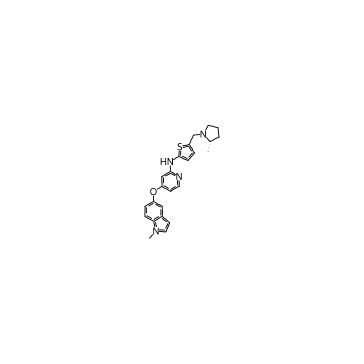 C[C@H]1CCCN1Cc1ccc(Nc2cc(Oc3ccc4c(ccn4C)c3)ccn2)s1